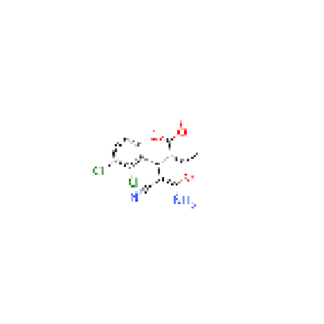 COC(=O)C1=C(C)OC(N)=C(C#N)C1c1cccc(Cl)c1Cl